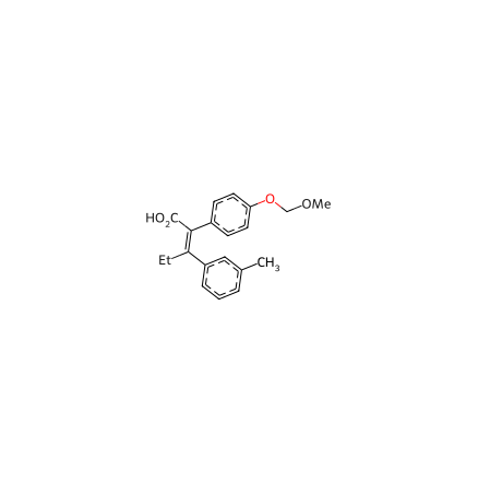 CCC(=C(C(=O)O)c1ccc(OCOC)cc1)c1cccc(C)c1